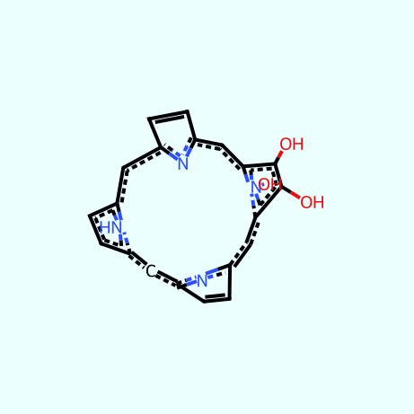 Oc1c(O)c2cc3nc(cc4ccc(cc5nc(cc1n2O)C=C5)[nH]4)C=C3